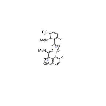 CNC(=O)/C(=N/OC)c1cccc(C)c1CO/N=C(\C)c1c(F)ccc(C(F)(F)F)c1NC